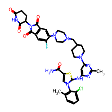 Cc1nc(NC2SC(C(N)=O)=CN2c2c(C)cccc2Cl)cc(N2CCC(CN3CCN(c4cc5c(cc4F)C(=O)N(C4CCC(=O)NC4=O)C5=O)CC3)CC2)n1